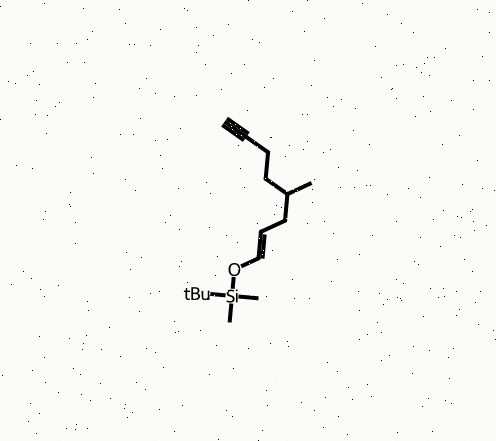 C#CCCC(C)CC=CO[Si](C)(C)C(C)(C)C